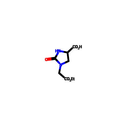 CCOC(=O)CN1CC(C(=O)O)NC1=O